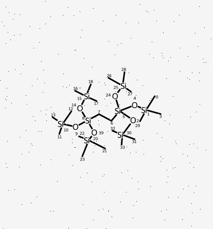 C[Si](C)(C)O[Si](CC[Si](O[Si](C)(C)C)(O[Si](C)(C)C)O[Si](C)(C)C)(O[Si](C)(C)C)O[Si](C)(C)C